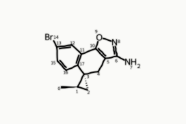 C[C@@H]1C[C@]12Cc1c(N)noc1-c1cc(Br)ccc12